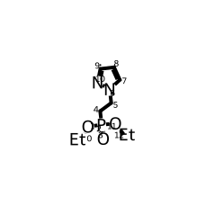 CCOP(=O)(CCn1cc[c]n1)OCC